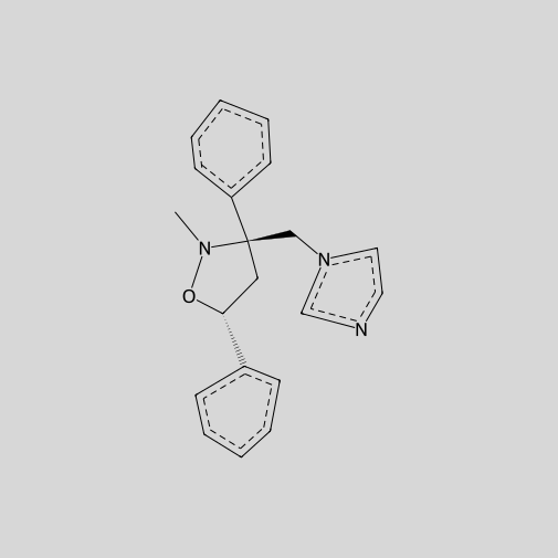 CN1O[C@@H](c2ccccc2)C[C@@]1(Cn1ccnc1)c1ccccc1